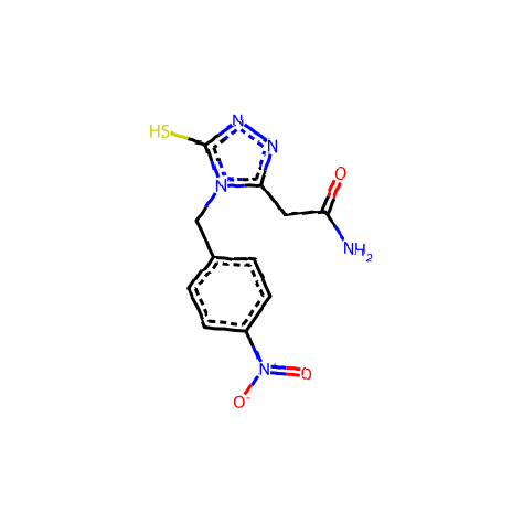 NC(=O)Cc1nnc(S)n1Cc1ccc([N+](=O)[O-])cc1